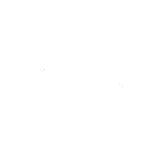 COc1cccc2c1=CCC(Cl)=NC=2C